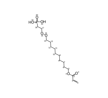 C=CC(=O)OCCCCCCCCCCOOCCP(=O)(O)O